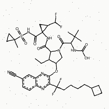 CCC1C(Oc2nc3cc(C#N)ccc3nc2C(F)(F)CCCCC2CCC2)CN(C(=O)C(NC(=O)O)C(C)(C)C)C1C(=O)NC1(C(=O)NS(=O)(=O)C2(C)CC2)CC1C(F)F